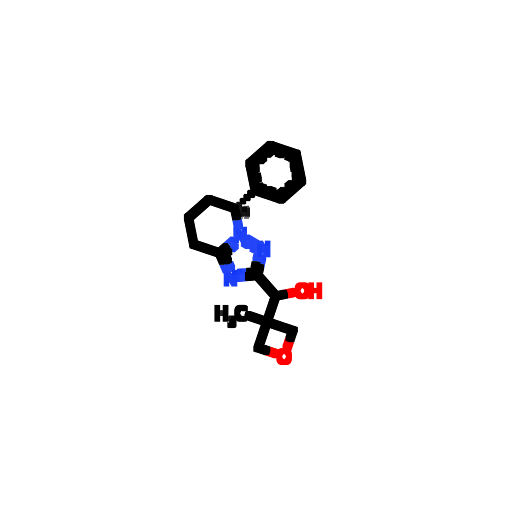 CC1(C(O)c2nc3n(n2)[C@@H](c2ccccc2)CCC3)COC1